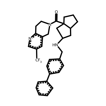 O=C(N1CCc2ncc(C(F)(F)F)cc2C1)C12CCCC1CC(NCc1ccc(-c3ccccc3)cc1)C2